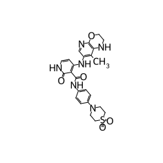 Cc1c(Nc2cc[nH]c(=O)c2C(=O)Nc2ccc(N3CCS(=O)(=O)CC3)cc2)cnc2c1NCCO2